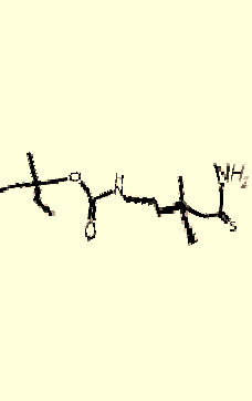 CC(C)(C)OC(=O)NCC(C)(C)C(N)=S